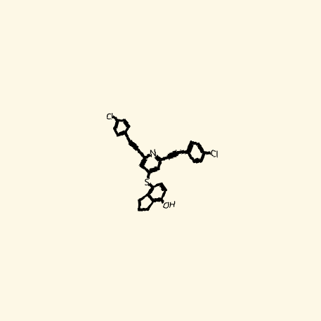 Oc1ccc(Sc2cc(C#Cc3ccc(Cl)cc3)nc(C#Cc3ccc(Cl)cc3)c2)c2c1CCC2